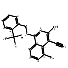 N#Cc1c(O)nc(SCc2ccccc2C(F)(F)F)c2cccc(F)c12